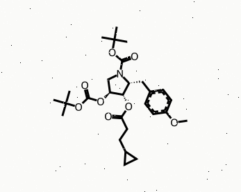 COc1ccc(C[C@@H]2[C@H](OC(=O)CCC3CC3)[C@@H](OC(=O)OC(C)(C)C)CN2C(=O)OC(C)(C)C)cc1